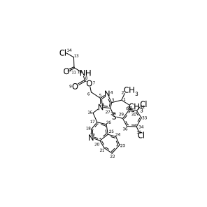 CC(C)c1nc(COC(=O)NC(=O)CCl)n(Cc2cnc3ccccc3c2)c1Sc1cc(Cl)cc(Cl)c1